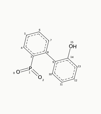 O=P(=O)c1ccccc1-c1ccccc1O